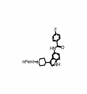 CCCCCN1CCC(c2c[nH]c3ccc(NC(=O)c4ccc(F)cc4)cc23)CC1